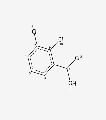 OC(Cl)c1cccc(Cl)c1Cl